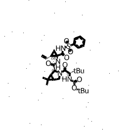 C=C[C@@H]1C[C@]1(NC(=O)[C@@H]1C2C(CN1C(=O)[C@@H](NC(=O)OC(C)(C)C)C(C)(C)C)C2(C)C)C(=O)NS(=O)(=O)c1ccccc1